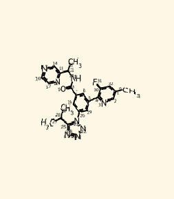 Cc1cnc(-c2cc(C(=O)NC(C)c3cnccn3)cc(-n3nnnc3C(C)C)c2)c(F)c1